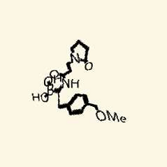 COCc1ccc(C[C@H](NC(=O)CCN2CCCC2=O)B(O)O)cc1